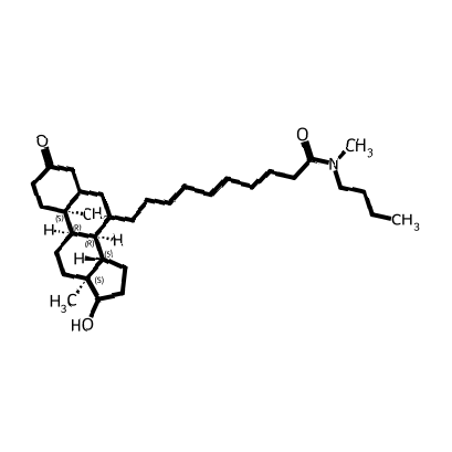 CCCCN(C)C(=O)CCCCCCCCCC1CC2CC(=O)CC[C@]2(C)[C@@H]2CC[C@]3(C)C(O)CC[C@H]3[C@H]12